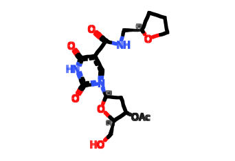 CC(=O)OC1C[C@H](n2cc(C(=O)NC[C@H]3CCCO3)c(=O)[nH]c2=O)O[C@@H]1CO